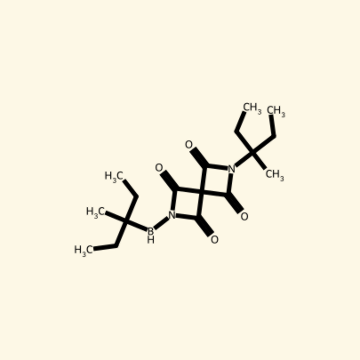 CCC(C)(BN1C(=O)C2(C1=O)C(=O)N(C(C)(CC)CC)C2=O)CC